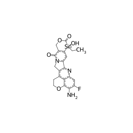 CC[Si@@]1(O)C(=O)OCc2c1cc1n(c2=O)Cc2c-1nc1cc(F)c(N)c3c1c2CCO3